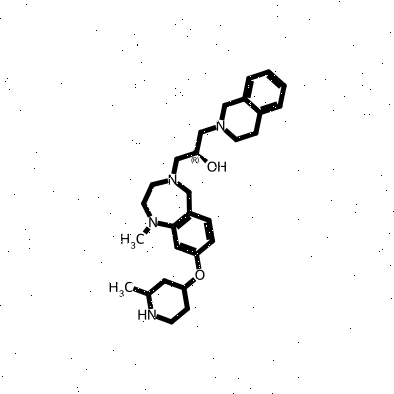 CC1CC(Oc2ccc3c(c2)N(C)CCN(C[C@H](O)CN2CCc4ccccc4C2)C3)CCN1